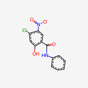 O=C(Nc1ccccc1)c1cc([N+](=O)[O-])c(Cl)cc1O